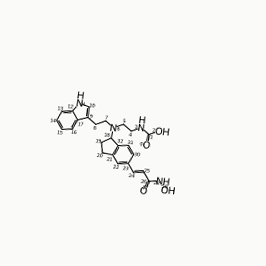 O=C(O)NCCN(CCc1c[nH]c2ccccc12)C1CCc2cc(/C=C/C(=O)NO)ccc21